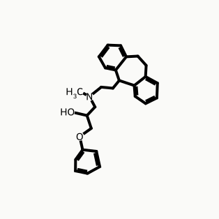 CN(CCC1c2ccccc2CCc2ccccc21)CC(O)COc1ccccc1